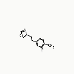 Fc1cc(CCC2CO[C]=N2)ccc1C(F)(F)F